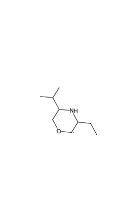 CCC1[CH]OCC(C(C)C)N1